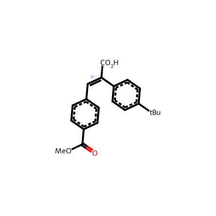 COC(=O)c1ccc(/C=C(/C(=O)O)c2ccc(C(C)(C)C)cc2)cc1